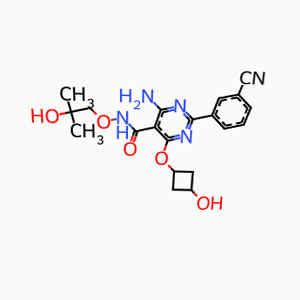 CC(C)(O)CONC(=O)c1c(N)nc(-c2cccc(C#N)c2)nc1OC1CC(O)C1